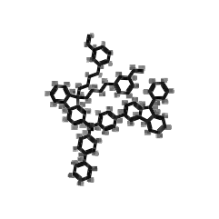 C=Cc1cccc(CCCCC2(CCCCc3cccc(C=C)c3)c3ccccc3-c3ccc(N(c4ccc(-c5ccccc5)cc4)c4ccc(-c5ccc6c(c5)-c5ccccc5C6c5ccccc5)cc4)cc32)c1